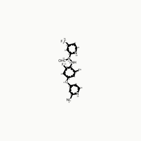 N#Cc1cc(Oc2cc(F)c(NN(C=O)c3cc(C(F)(F)F)ccn3)c(F)c2)ccn1